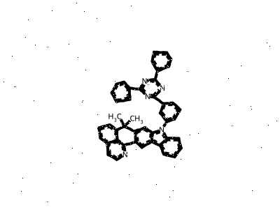 CC1(C)c2cc3c(cc2-c2nccc4cccc1c24)c1ccccc1n3-c1cccc(-c2nc(-c3ccccc3)nc(-c3ccccc3)n2)c1